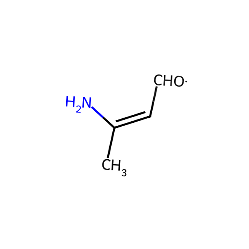 CC(N)=C[C]=O